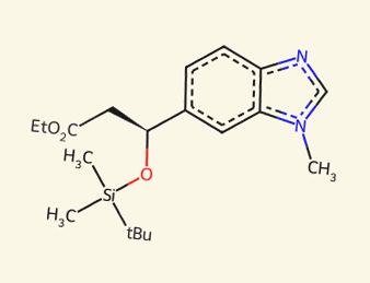 CCOC(=O)C[C@H](O[Si](C)(C)C(C)(C)C)c1ccc2ncn(C)c2c1